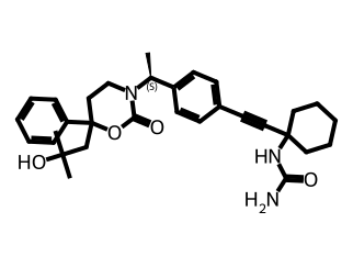 C[C@@H](c1ccc(C#CC2(NC(N)=O)CCCCC2)cc1)N1CCC(CC(C)(C)O)(c2ccccc2)OC1=O